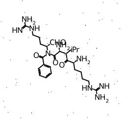 CC(C)C(C(=O)[C@@H](N)CCCCNC(=N)N)[C@H](N)C(=O)N(C(=O)c1ccccc1)[C@H]([C]=O)CCCNC(=N)N